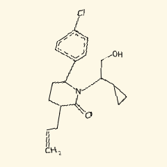 C=CCC1CCC(c2ccc(Cl)cc2)N(C(CO)C2CC2)C1=O